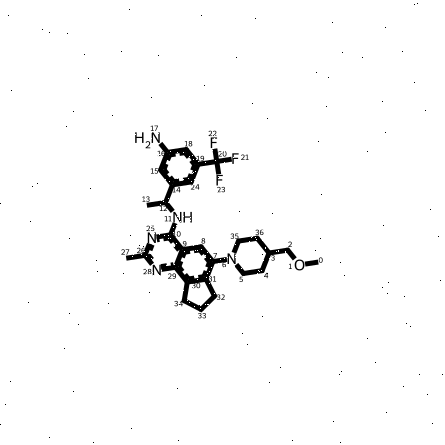 COCC1CCN(c2cc3c(NC(C)c4cc(N)cc(C(F)(F)F)c4)nc(C)nc3c3c2CCC3)CC1